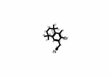 Cc1c(Br)c(CC#N)cc2c1C(C)(C)CCC2(C)C